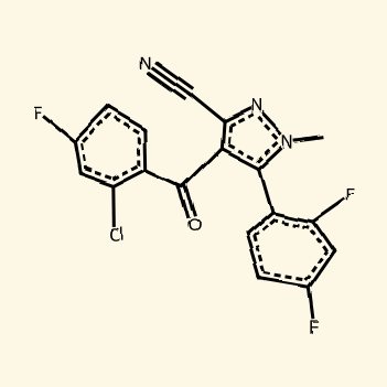 Cn1nc(C#N)c(C(=O)c2ccc(F)cc2Cl)c1-c1ccc(F)cc1F